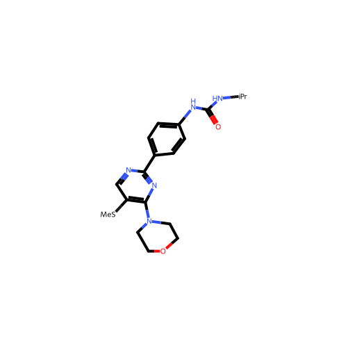 CSc1cnc(-c2ccc(NC(=O)NC(C)C)cc2)nc1N1CCOCC1